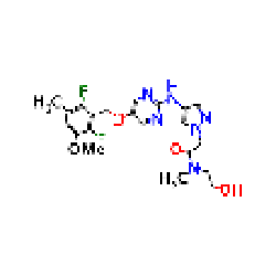 COc1cc(C)c(F)c(COc2cnc(Nc3cnn(CC(=O)N(C)CCO)c3)nc2)c1F